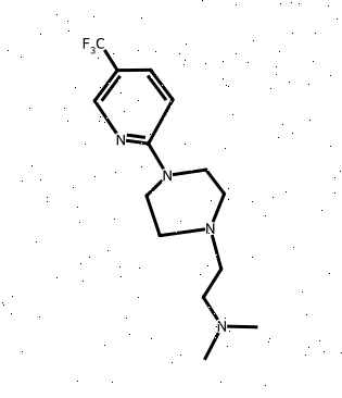 CN(C)CCN1CCN(c2ccc(C(F)(F)F)cn2)CC1